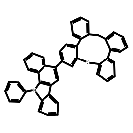 c1ccc(-n2c3ccccc3c3cc(-c4ccc5c(c4)Cc4ccccc4-c4ccccc4Cc4ccccc4-5)c4ccccc4c32)cc1